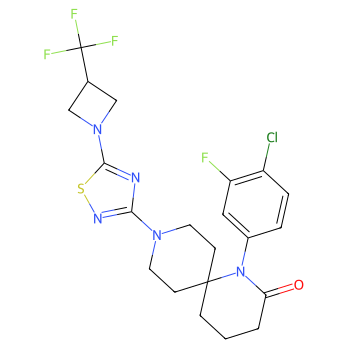 O=C1CCCC2(CCN(c3nsc(N4CC(C(F)(F)F)C4)n3)CC2)N1c1ccc(Cl)c(F)c1